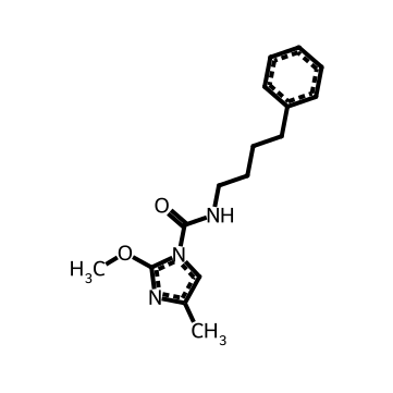 COc1nc(C)cn1C(=O)NCCCCc1ccccc1